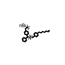 C=CCCCCCc1ccc(C=NN=C(c2ccccc2)c2ccc(CC(F)CCCC)cc2)cc1